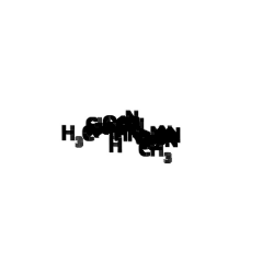 Cc1cc(Nc2ncnc3ccc(NC(=O)C=CCN(C)C)cc23)ccc1Oc1cc2nncn2cn1